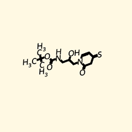 CC(C)(C)OC(=O)NCC(O)CN1C=CC(=S)CC1=O